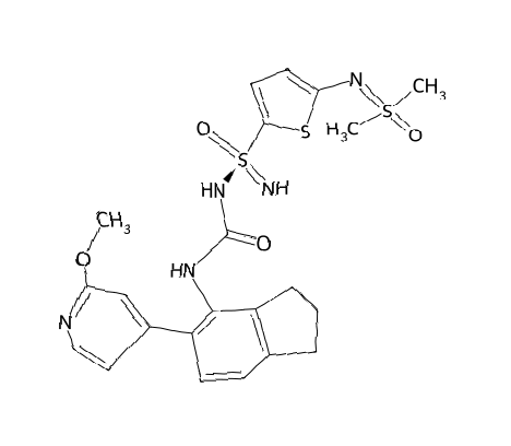 COc1cc(-c2ccc3c(c2NC(=O)N[S@@](=N)(=O)c2ccc(N=S(C)(C)=O)s2)CCC3)ccn1